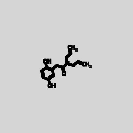 C=CCN(CC=C)C(=O)Cc1cc(O)ccc1O